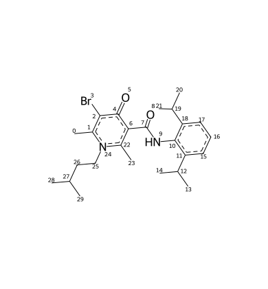 Cc1c(Br)c(=O)c(C(=O)Nc2c(C(C)C)cccc2C(C)C)c(C)n1CCC(C)C